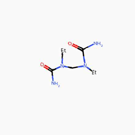 CCN(CN(CC)C(N)=O)C(N)=O